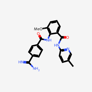 COc1cccc(C(=O)Nc2ccc(C)cn2)c1NC(=O)c1ccc(C(=N)N)cc1